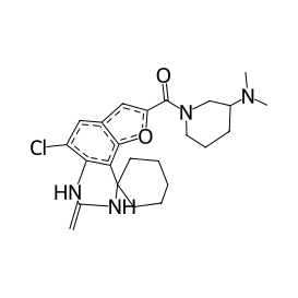 C=C1Nc2c(Cl)cc3cc(C(=O)N4CCCC(N(C)C)C4)oc3c2C2(CCCCC2)N1